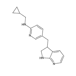 c1cnc2c(c1)C(Cc1ccc(NCC3CC3)nc1)CN2